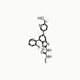 CCNC(=O)Nc1nc2cc(-c3ccc([C@@H](C)O)nc3)cc(-c3ncccc3F)c2[nH]1